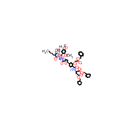 CCCCCC(C(=O)NCNC(=O)c1ccc(-c2ccc(C(=O)NC(CC(=O)OCc3ccccc3)C(=O)OCc3ccccc3)c(OCC(=O)OCc3ccccc3)c2)o1)[C@@H](CC)N(C=O)OC(=O)c1ccc(OC)cc1OC